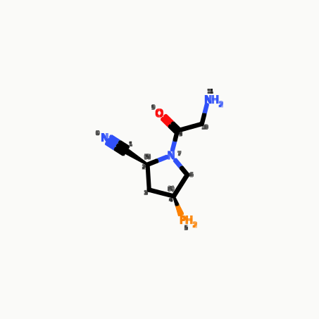 N#C[C@@H]1C[C@H](P)CN1C(=O)CN